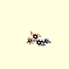 COc1cc(OC)cc(N(CO[Si](C)(C)C(C)(C)C)c2ccc3nnc(-c4cnn(C)c4)cc3c2)c1